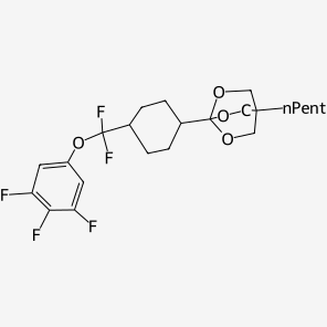 CCCCCC12COC(C3CCC(C(F)(F)Oc4cc(F)c(F)c(F)c4)CC3)(OC1)OC2